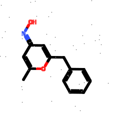 Cc1cc(=NO)cc(Cc2ccccc2)o1